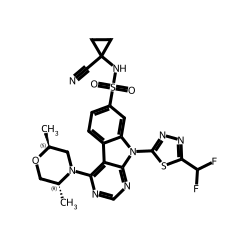 C[C@@H]1CO[C@@H](C)CN1c1ncnc2c1c1ccc(S(=O)(=O)NC3(C#N)CC3)cc1n2-c1nnc(C(F)F)s1